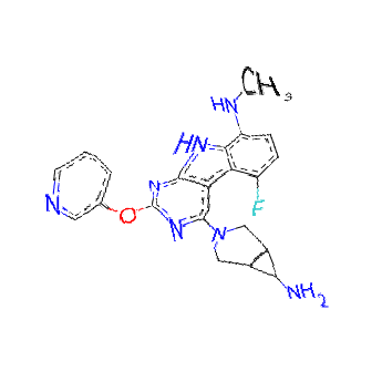 CNc1ccc(F)c2c1[nH]c1nc(Oc3cccnc3)nc(N3CC4C(N)C4C3)c12